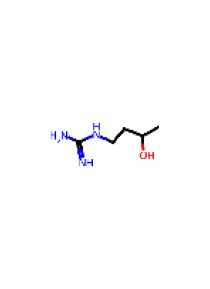 CC(O)CCNC(=N)N